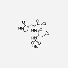 CC(C)(C)OC(=O)N[C@@H](CC1CC1)C(=O)N[C@@H](C[C@@H]1CCNC1=O)C(=O)CCl